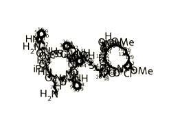 COc1cc2cc(c1Cl)N(C)C(=O)C[C@H](OC(=O)[C@H](C)N(C)C(=O)CCSSCCCN[C@H](Cc1ccccc1)C(=O)N[C@H]1CSSC[C@@H](C(=O)N[C@@H](Cc3c[nH]c4ccccc34)C(N)=O)NC(=O)[C@H](C(C)C)NC(=O)[C@H](CCCCN)NC(=O)[C@@H](Cc3c[nH]c4ccccc34)NC(=O)[C@H](Cc3ccc(O)cc3)NC1=O)[C@]1(C)O[C@H]1[C@H](C)[C@@H]1C[C@@](O)(NC(=O)O1)[C@H](OC)/C=C/C=C(\C)C2